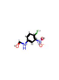 O=CNc1ccc(F)c([N+](=O)[O-])c1